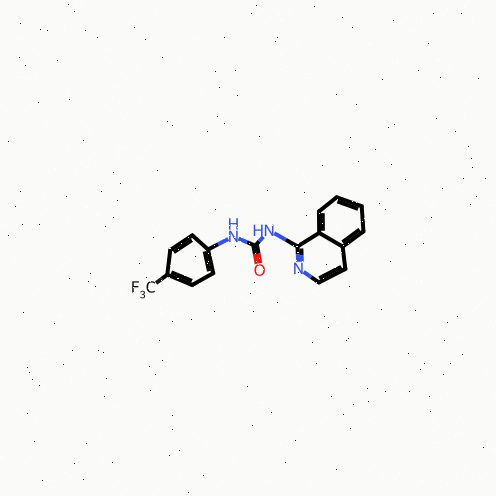 O=C(Nc1ccc(C(F)(F)F)cc1)Nc1nccc2ccccc12